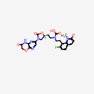 Cn1c(=O)ccc2ccc(F)c(CCN(CC[C@H]3CN(c4cnc5c(n4)NC(=O)CO5)C(=O)O3)C(=O)O)c21